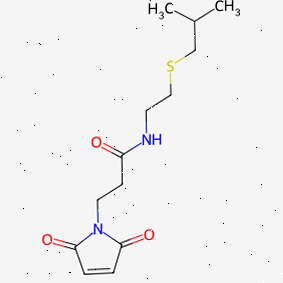 CC(C)CSCCNC(=O)CCN1C(=O)C=CC1=O